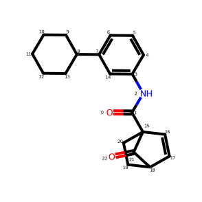 O=C(Nc1cccc(C2CCCCC2)c1)C12C=CC(CC1)C2=O